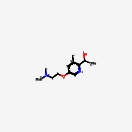 COC(O)c1ncc(OCCN(C)OC)cc1C